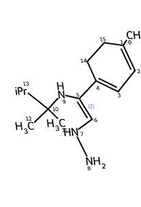 CC1=CC=C(/C(=C/NN)NC(C)(C)C(C)C)CC1